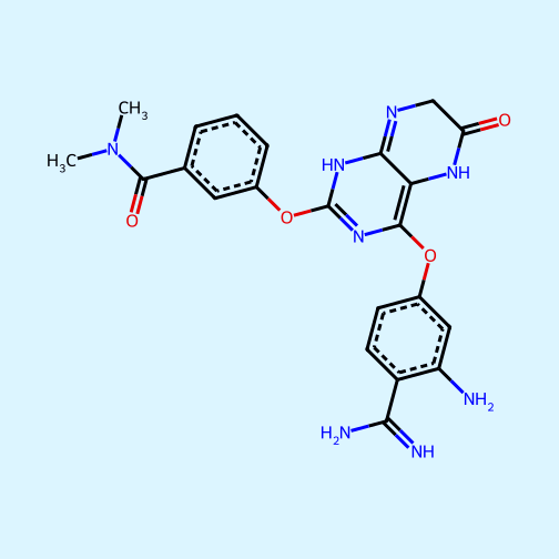 CN(C)C(=O)c1cccc(OC2=NC(Oc3ccc(C(=N)N)c(N)c3)=C3NC(=O)CN=C3N2)c1